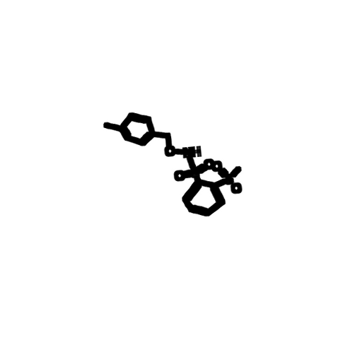 Cc1ccc(CONS(=O)(=O)c2ccccc2S(C)(=O)=O)cc1